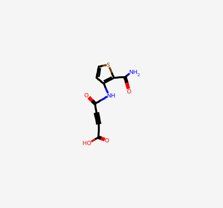 NC(=O)c1sccc1NC(=O)C#CC(=O)O